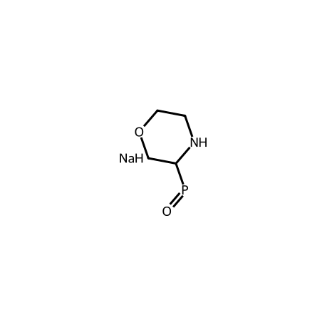 O=PC1COCCN1.[NaH]